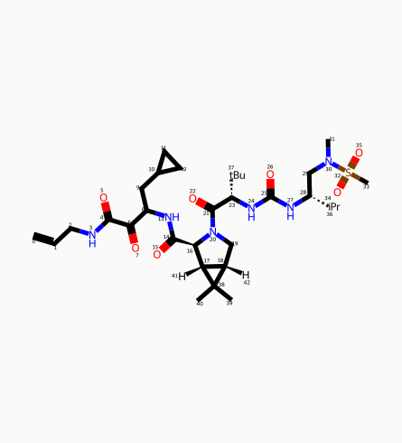 C=CCNC(=O)C(=O)C(CC1CC1)NC(=O)[C@@H]1[C@@H]2[C@H](CN1C(=O)[C@@H](NC(=O)N[C@H](CN(C)S(C)(=O)=O)C(C)C)C(C)(C)C)C2(C)C